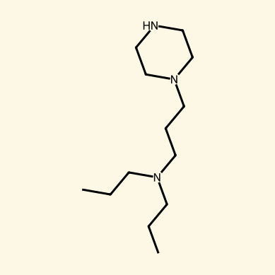 CCCN(CCC)CCCN1CCNCC1